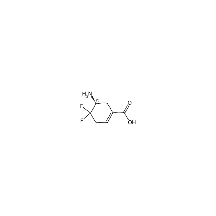 N[C@H]1CC(C(=O)O)=CCC1(F)F